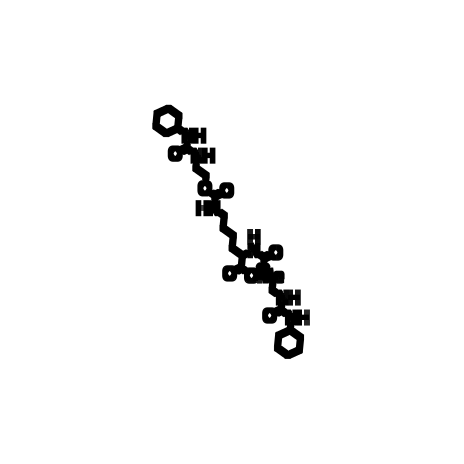 COC(=O)C(CCCCNC(=O)OCCNC(=O)NC1CCCCC1)NC(=O)OCCNC(=O)NC1CCCCC1